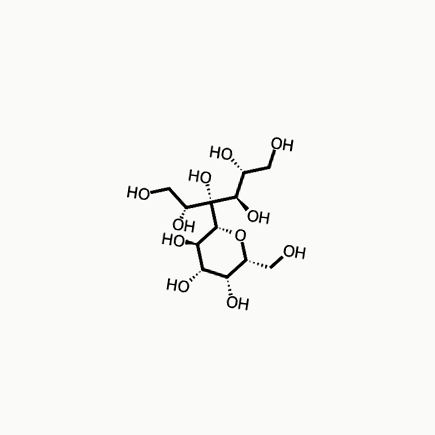 OC[C@@H](O)[C@@H](O)[C@](O)([C@H](O)CO)[C@@H]1O[C@H](CO)[C@H](O)[C@H](O)[C@H]1O